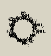 CCCC[C@H]1C(=O)N(C)[C@@H](CCCC)C(=O)N[C@@H](CCCN)C(=O)C[C@H](C(=O)NCC(N)=O)CSCC(=O)N[C@@H](Cc2ccccc2)C(=O)N(C)[C@@H](C)C(=O)N[C@@H](CC(N)=O)C(=O)N2CCC[C@H]2C(=O)N[C@@H](Cc2cnc[nH]2)C(=O)N[C@@H](CC(C)C)C(=O)N(C)CC(=O)N[C@@H](Cc2c[nH]c3ccccc23)C(=O)N[C@@H](CO)C(=O)N[C@@H](Cc2c[nH]c3ccccc23)C(=O)N1C